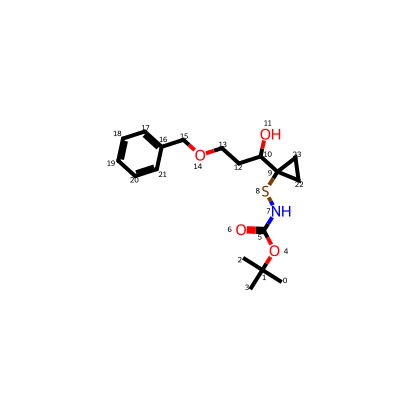 CC(C)(C)OC(=O)NSC1(C(O)CCOCc2ccccc2)CC1